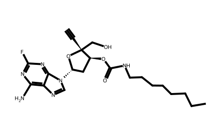 C#C[C@]1(CO)O[C@@H](n2cnc3c(N)nc(F)nc32)C[C@@H]1OC(=O)NCCCCCCCC